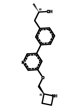 C[C@H](O)Cc1cccc(-c2cncc(OC[C@@H]3CCN3)c2)c1